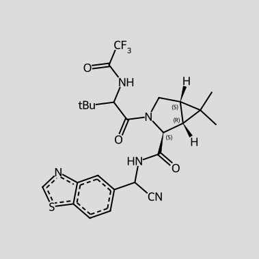 CC(C)(C)C(NC(=O)C(F)(F)F)C(=O)N1C[C@H]2[C@@H]([C@H]1C(=O)NC(C#N)c1ccc3scnc3c1)C2(C)C